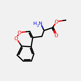 COC(=O)C(N)CC1=COOc2ccccc21